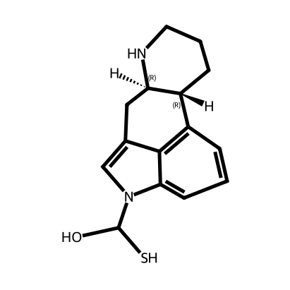 OC(S)n1cc2c3c(cccc31)[C@H]1CCCN[C@@H]1C2